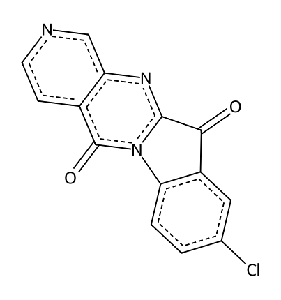 O=C1c2cc(Cl)ccc2-n2c1nc1cnccc1c2=O